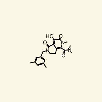 Cc1cc(C)cc(CN2CCc3c(c(O)c(=O)n(C)c3C(=O)N(C)C)C2=O)c1